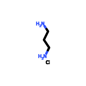 NCCCN.[C]